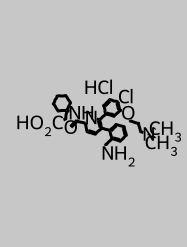 CN(C)CCCOc1cc(-c2nc(C(=O)NC3(CC(=O)O)CCCCC3)ccc2-c2ccccc2CN)ccc1Cl.Cl